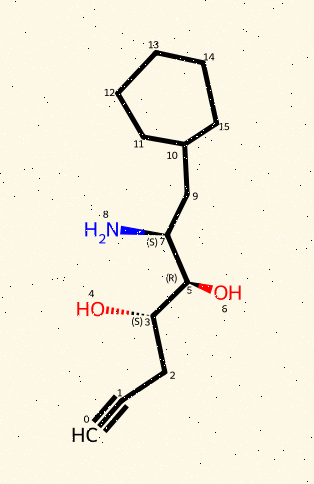 C#CC[C@H](O)[C@H](O)[C@@H](N)CC1CCCCC1